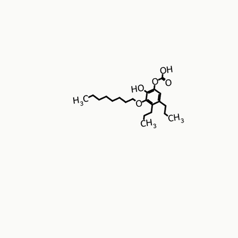 CCCCCCCCOc1c(O)c(OC(=O)O)cc(CCC)c1CCC